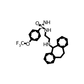 N=S(=O)(NCCNC1c2ccccc2CCc2ccccc21)c1ccc(OC(F)(F)F)cc1